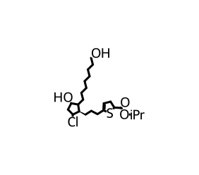 CC(C)OC(=O)C1CC=C(CCC[C@H]2C(Cl)C[C@@H](O)C2CCCCCCCCO)S1